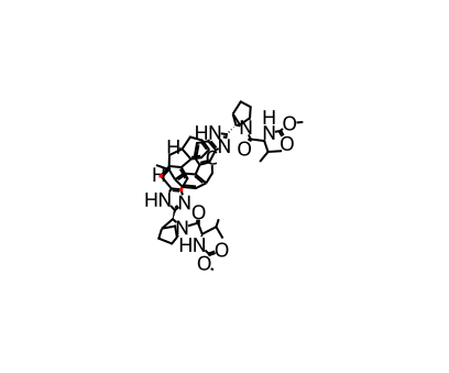 COC(=O)N[C@H](C(=O)N1C2CCC(C2)[C@H]1c1nc2cc(C3=CC4=CC[C@@H]3C[C@@H](C)c3ccc(c(-c5ccc6[nH]c([C@@H]7C8CCC(C8)N7C(=O)[C@@H](NC(=O)OC)C(C)C)nc6c5)c3)CC4)ccc2[nH]1)C(C)C